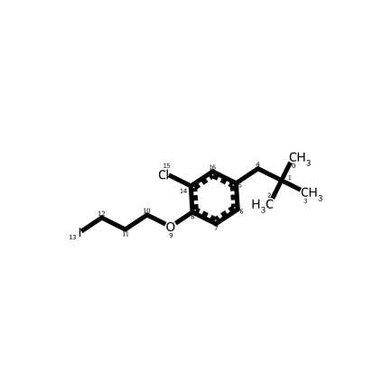 CC(C)(C)Cc1ccc(OCCCI)c(Cl)c1